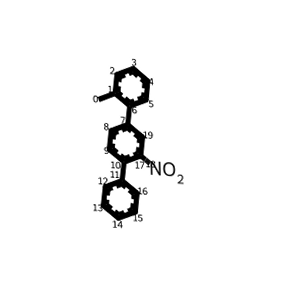 Cc1ccccc1-c1ccc(-c2ccccc2)c([N+](=O)[O-])c1